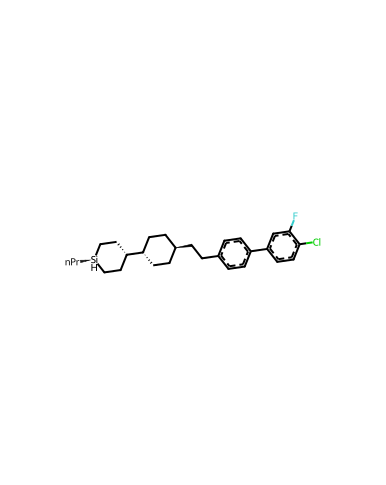 CCC[Si@H]1CC[C@H]([C@H]2CC[C@H](CCc3ccc(-c4ccc(Cl)c(F)c4)cc3)CC2)CC1